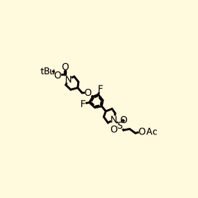 CC(=O)OCCCS(=O)(=O)N1CCC(c2cc(F)c(OCC3CCN(C(=O)OC(C)(C)C)CC3)c(F)c2)CC1